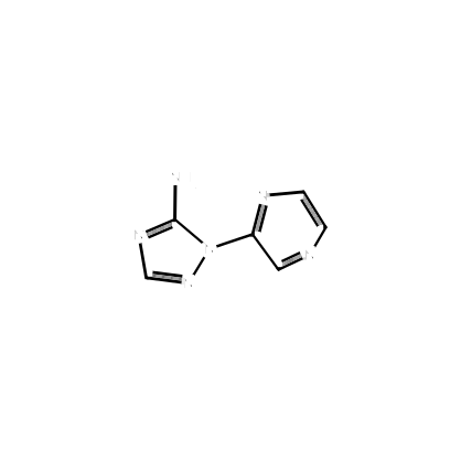 Nc1ncnn1-c1cnccn1